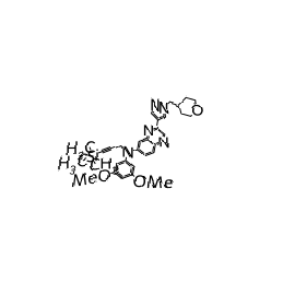 COc1cc(OC)cc(N(CC#C[Si](C)(C)C)c2ccc3ncc(-c4cnn(CC5CCOCC5)c4)nc3c2)c1